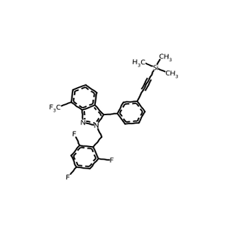 C[Si](C)(C)C#Cc1cccc(-c2c3cccc(C(F)(F)F)c3nn2Cc2c(F)cc(F)cc2F)c1